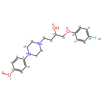 COc1ccc(N2CCN(CCC(O)COc3ccc(F)cc3)CC2)cc1